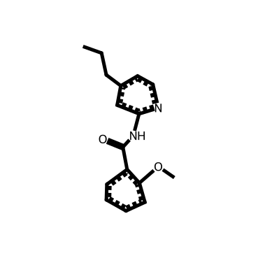 CCCc1ccnc(NC(=O)c2ccccc2OC)c1